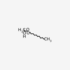 CCCCCCCCCCCOC(=O)C(C)O